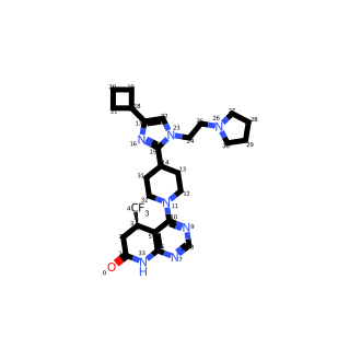 O=C1C[C@@H](C(F)(F)F)c2c(ncnc2N2CCC(c3nc(C4CCC4)cn3CCN3CCCC3)CC2)N1